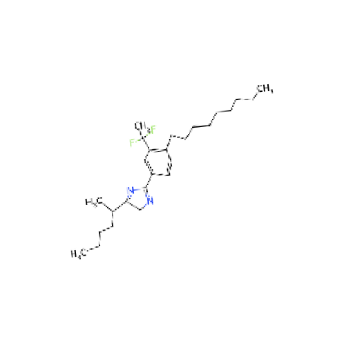 CCCCCCCCCc1ccc(C2=NCC(C(C)CCCC)=N2)cc1C(C)(F)F